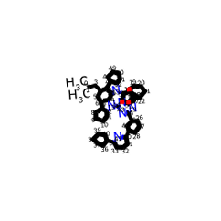 CC(C)Cc1cc2c3ccccc3n(-c3nc(-c4ccccc4)nc(-c4cccc(-c5cccc(-c6ccccc6)n5)c4)n3)c2c2c1c1ccccc1n2-c1ccccc1